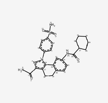 NC(=O)c1nn(-c2ccc(S(N)(=O)=O)cc2)c2c1CCc1ccc(NC(=O)C3CCCCC3)cc1-2